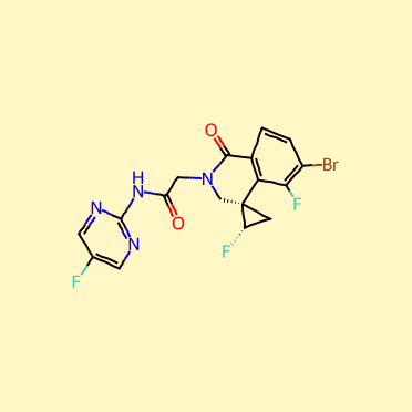 O=C(CN1C[C@@]2(C[C@@H]2F)c2c(ccc(Br)c2F)C1=O)Nc1ncc(F)cn1